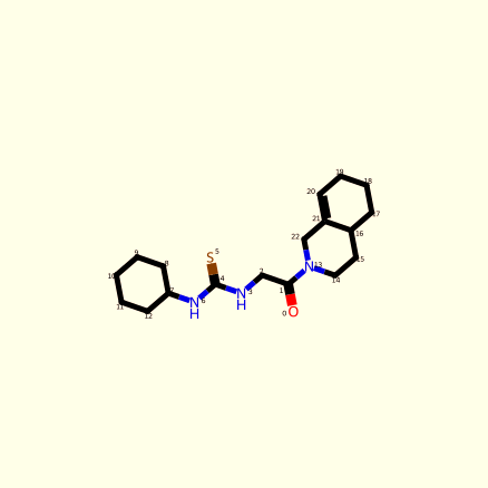 O=C(CNC(=S)NC1CCCCC1)N1CCC2CCCC=C2C1